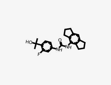 CC(C)(O)c1ccc(NC(=O)Nc2c3c(cc4c2CCC4)CCC3)cc1F